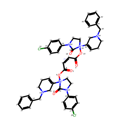 O=C(/C=C\C(=O)O[N+]1(C2=CCCN(Cc3ccccc3)C2)CCN(c2ccc(Cl)cc2)C1=O)O[N+]1(C2=CCCN(Cc3ccccc3)C2)CCN(c2ccc(Cl)cc2)C1=O